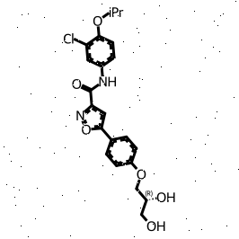 CC(C)Oc1ccc(NC(=O)c2cc(-c3ccc(OC[C@H](O)CO)cc3)on2)cc1Cl